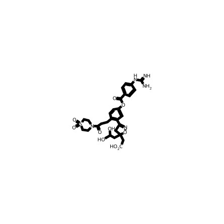 N=C(N)Nc1ccc(C(=O)Oc2ccc(CCC(=O)N3CCS(=O)(=O)CC3)c(C3=NOC(CC(=O)O)(CC(O)O)C3)c2)cc1